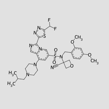 COc1ccc(CN(C2(C#N)COC2)S(=O)(=O)c2cc(N3CCN(CC(C)C)CC3)c3cnc(-c4nnc(C(F)F)s4)n3c2)c(OC)c1